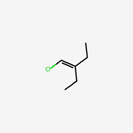 CCC(=CCl)CC